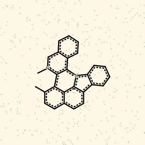 Cc1ccc2ccc3c4ccccc4n4c3c2c1c1c4c2ccccc2c[n+]1C